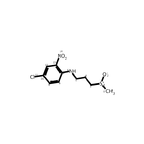 C[S+]([O-])CCCNc1ccc(Cl)cc1[N+](=O)[O-]